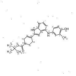 Cc1cc(Nc2ccnc3[nH]c(C4=CCN(C(=O)OC(C)(C)C)CC4)cc23)ccc1O